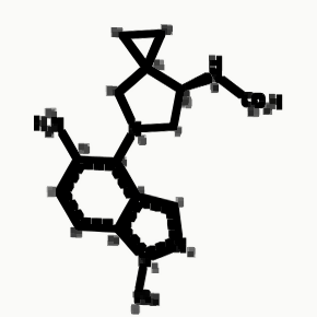 CC(C)(C)n1ncc2c(N3C[C@H](NC(=O)O)C4(CC4)C3)c(N)ccc21